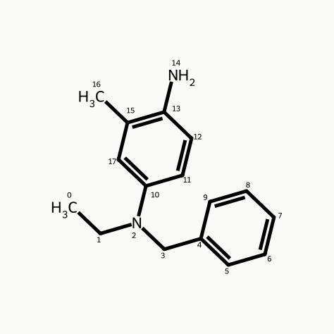 CCN(Cc1ccccc1)c1ccc(N)c(C)c1